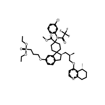 CCOP(=O)(CCCOc1ccc2c(c1)C1(CCC(C(=O)OC)(N(C(=O)C(F)(F)F)c3cccc(Cl)c3)CC1)[C@@H](C[C@@H](C)COc1ccnc3c1[C@H](C)CCC3)C2)OCC